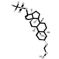 COCO[C@@H]1CC[C@@]2(C)[C@@H](CC[C@@H]3[C@@H]2CC[C@@]24CCC=C(OS(=O)(=O)C(F)(F)F)[C@H]2CC[C@@H]34)C1